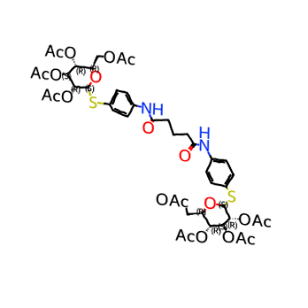 CC(=O)OC[C@H]1O[C@@H](Sc2ccc(NC(=O)CCCC(=O)Nc3ccc(S[C@@H]4O[C@H](COC(C)=O)[C@@H](OC(C)=O)[C@H](OC(C)=O)[C@H]4OC(C)=O)cc3)cc2)[C@H](OC(C)=O)[C@@H](OC(C)=O)[C@@H]1OC(C)=O